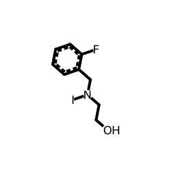 OCCN(I)Cc1ccccc1F